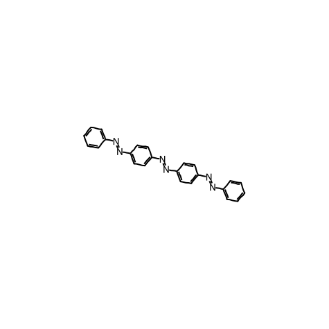 c1ccc(N=Nc2ccc(N=Nc3ccc(N=Nc4ccccc4)cc3)cc2)cc1